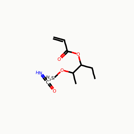 C=CC(=O)OC(CC)C(C)O[SiH3].N=C=O